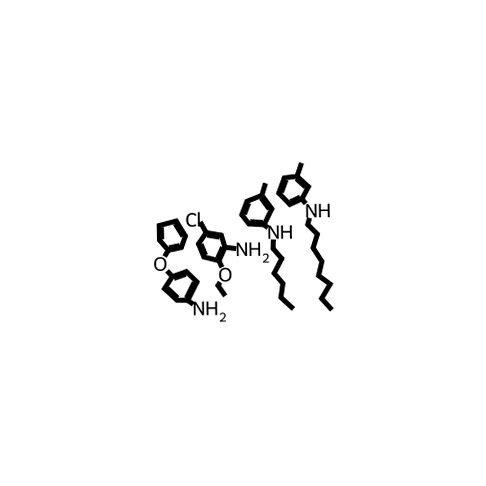 CCCCCCCCNc1cccc(C)c1.CCCCCCNc1cccc(C)c1.CCOc1ccc(Cl)cc1N.Nc1ccc(Oc2ccccc2)cc1